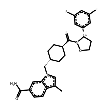 Cc1cn(C[C@H]2CC[C@H](C(=O)N3OCC[C@H]3c3cc(F)cc(F)c3)CC2)c2cc(C(N)=O)ccc12